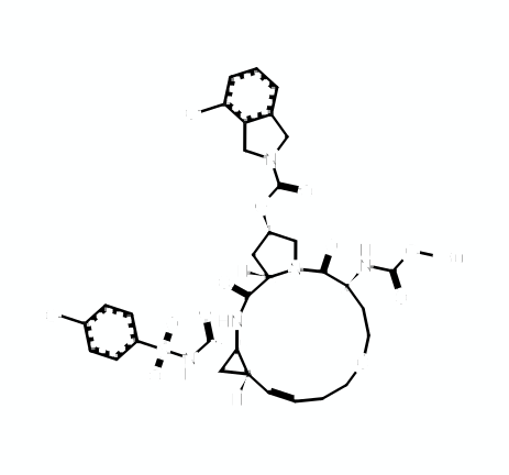 CC(C)(C)OC(=O)N[C@H]1CCOCCC=C[C@@H]2C[C@@]2(C(=O)NS(=O)(=O)c2ccc(Cl)cc2)NC(=O)[C@@H]2C[C@@H](OC(=O)N3Cc4cccc(Cl)c4C3)CN2C1=O